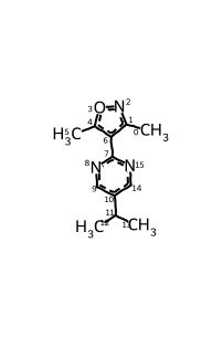 Cc1noc(C)c1-c1ncc(C(C)C)cn1